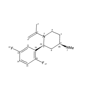 C=C(C)N1CC[C@@H](NC)C[C@H]1c1cc(F)ccc1F